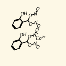 O=NOC(ON=O)c1ccccc1O.O=NOC(O[N+](=O)[Co+2])c1ccccc1O